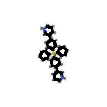 c1ccc(S(c2ccccc2)(c2ccc(-c3cccnc3)cc2)c2ccc(-c3cccnc3)cc2)cc1